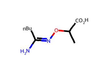 CCCC/C(N)=N\OC(C)C(=O)O